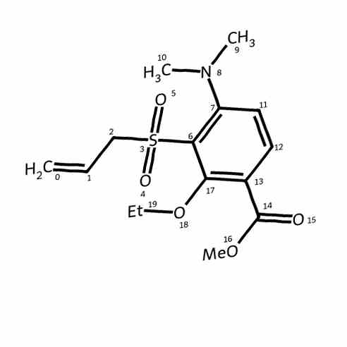 C=CCS(=O)(=O)c1c(N(C)C)ccc(C(=O)OC)c1OCC